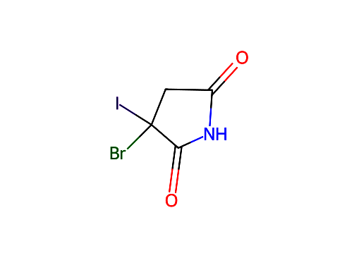 O=C1CC(Br)(I)C(=O)N1